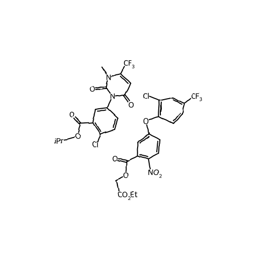 CC(C)OC(=O)c1cc(-n2c(=O)cc(C(F)(F)F)n(C)c2=O)ccc1Cl.CCOC(=O)COC(=O)c1cc(Oc2ccc(C(F)(F)F)cc2Cl)ccc1[N+](=O)[O-]